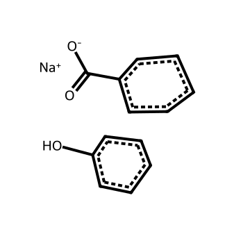 O=C([O-])c1ccccc1.Oc1ccccc1.[Na+]